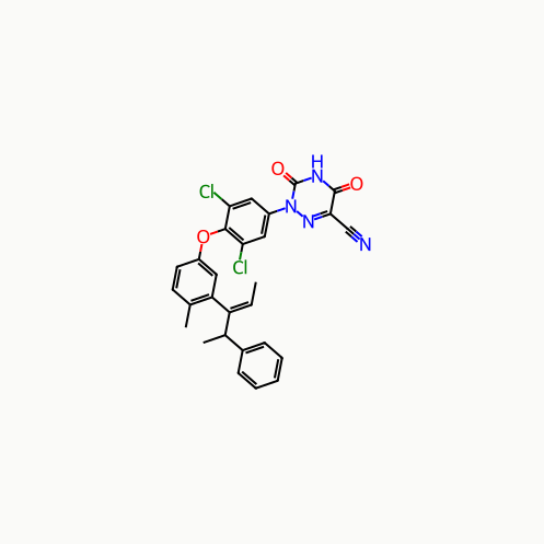 C/C=C(\c1cc(Oc2c(Cl)cc(-n3nc(C#N)c(=O)[nH]c3=O)cc2Cl)ccc1C)C(C)c1ccccc1